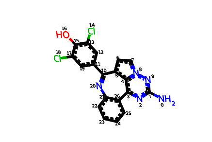 Nc1nc2c3c(ccn3n1)C(c1cc(Cl)c(O)c(Cl)c1)=Nc1ccccc1-2